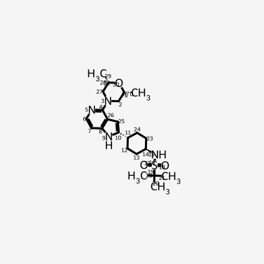 C[C@@H]1CN(c2nccc3[nH]c([C@H]4CC[C@H](NS(=O)(=O)C(C)(C)C)CC4)cc23)C[C@H](C)O1